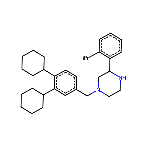 CC(C)c1ccccc1C1CN(Cc2ccc(C3CCCCC3)c(C3CCCCC3)c2)CCN1